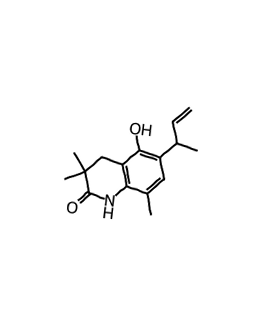 C=CC(C)c1cc(C)c2c(c1O)CC(C)(C)C(=O)N2